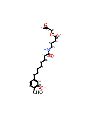 O=Cc1ccc(CCCCCCCC(=O)NCCCC(=O)OCC2=CO2)cc1O